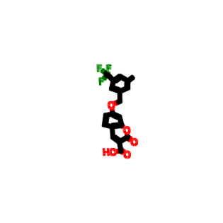 Cc1cc(COc2ccc3cc(C(=O)O)c(=O)oc3c2)cc(C(F)(F)F)c1